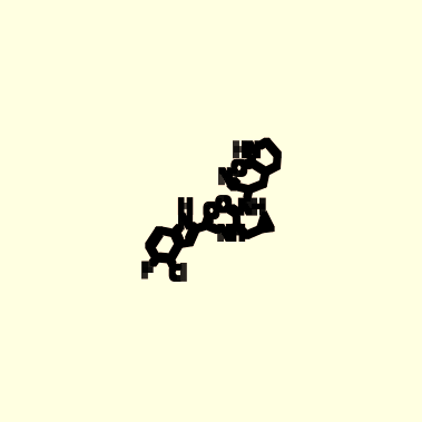 N#CC(CC1CCCNC1=O)NC(=O)C(CC1CC1)NC(=O)c1cc2c(Cl)c(F)ccc2[nH]1